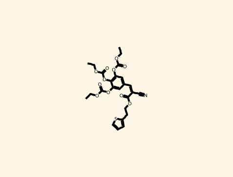 CCOC(=O)Oc1cc(C=C(C#N)C(=O)OCCc2cccs2)cc(OC(=O)OCC)c1OC(=O)OCC